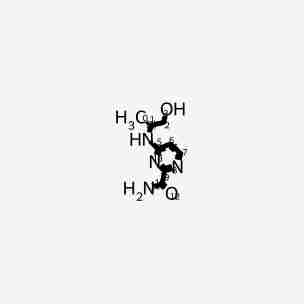 C[C@@H](CO)Nc1[c]cnc(C(N)=O)n1